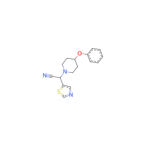 N#CC(c1cncs1)N1CCC(Oc2ccccc2)CC1